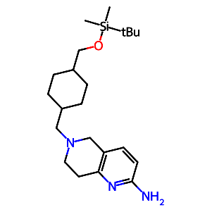 CC(C)(C)[Si](C)(C)OCC1CCC(CN2CCc3nc(N)ccc3C2)CC1